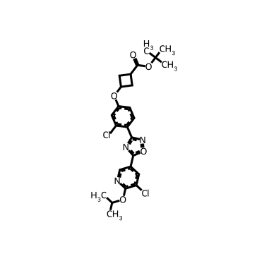 CC(C)Oc1ncc(-c2nc(-c3ccc(OC4CC(C(=O)OC(C)(C)C)C4)cc3Cl)no2)cc1Cl